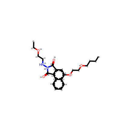 CCCCOCCOc1cc2c(c3ccccc13)C(=O)N(NCCOCC)C2=O